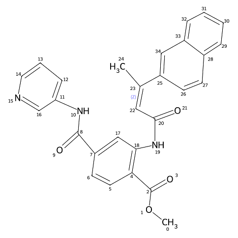 COC(=O)c1ccc(C(=O)Nc2cccnc2)cc1NC(=O)/C=C(/C)c1ccc2ccccc2c1